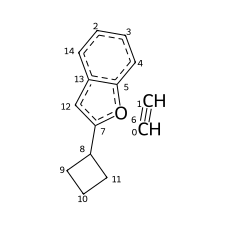 C#C.c1ccc2oc(C3CCC3)cc2c1